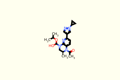 CC(=O)N1c2ccc(-c3cnn(C4CC4)c3)nc2N(C(O)OC(C)C)C[C@@H]1C